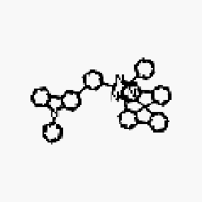 c1ccc(-c2nc(-c3cccc(-c4ccc5c(c4)c4ccccc4n5-c4ccccc4)c3)nc(-c3cccc4c3C3(c5ccccc5-c5ccccc53)c3ccccc3-4)n2)cc1